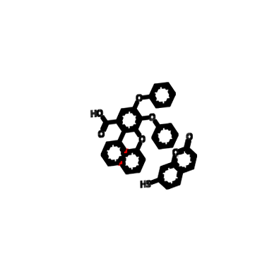 O=C(O)c1cc(Oc2ccccc2)c(Oc2ccccc2)c(Oc2ccccc2)c1-c1ccccc1.O=c1ccc2ccc(S)cc2o1